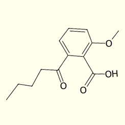 CCCCC(=O)c1cccc(OC)c1C(=O)O